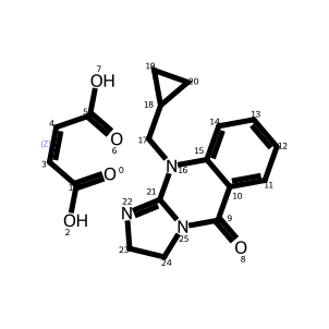 O=C(O)/C=C\C(=O)O.O=C1c2ccccc2N(CC2CC2)C2=NCCN12